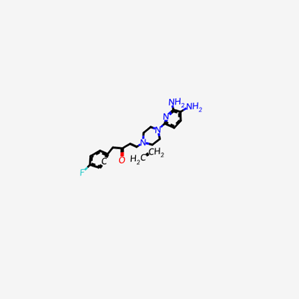 C=C.Nc1ccc(N2CCN(CCC(=O)Cc3ccc(F)cc3)CC2)nc1N